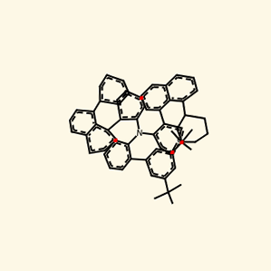 CC(C)(C)c1cc(-c2ccccc2N(c2ccccc2-c2cccc3cccc(-c4ccccc4)c23)c2ccccc2-c2cccc3cccc(C4CCCCC4)c23)cc(C(C)(C)C)c1